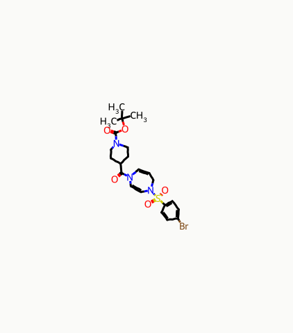 CC(C)(C)OC(=O)N1CCC(C(=O)N2C=CCN(S(=O)(=O)c3ccc(Br)cc3)C=C2)CC1